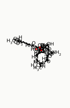 CC[C@H](C)[C@@H]1NC(=O)CNC(=O)C2Cc3c([nH]c4cc(O)ccc34)[S@+]([O-])CC(NC(=O)CNC1=O)C(=O)N[C@@H](CC(N)=O)C(=O)N1CC(O)C[C@H]1C(=O)N[C@@H]([C@@H](C)[C@@H](O)COC(=O)NCCCCCCNC(=O)OC(C)(C)C)C(=O)N2